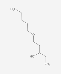 CCCCCOCCC(O)CC